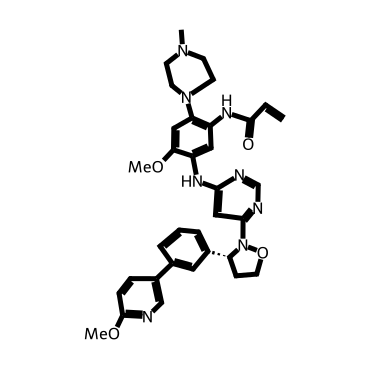 C=CC(=O)Nc1cc(Nc2cc(N3OCC[C@@H]3c3cccc(-c4ccc(OC)nc4)c3)ncn2)c(OC)cc1N1CCN(C)CC1